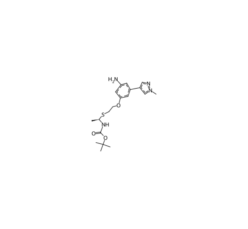 C[C@H](NC(=O)OC(C)(C)C)SCCOc1cc(N)cc(-c2cnn(C)c2)c1